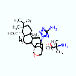 CC(C)[C@@H](C)[C@@]1(C)CC[C@]2(C)[C@H]3CC[C@@H]4[C@@]5(COC[C@]4(C)[C@@H](OCC(C)(C)N)[C@H](n4nnc(N)n4)C5)C3=CC[C@@]2(C)[C@@H]1C(=O)O